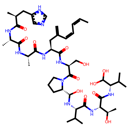 C=C(/C=C\C=C/C)C[C@H](NC(=O)[C@H](C)NC(=O)[C@H](C)NC(=O)[C@@H](C)Cc1cnc[nH]1)C(=O)N[C@@H](CO)C(=O)N1CCC[C@H]1C(O)N[C@H](C(=O)N[C@H](C(=O)N[C@@H](C(C)C)C(O)O)[C@@H](C)O)C(C)C